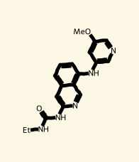 CCNC(=O)Nc1cc2cccc(Nc3cncc(OC)c3)c2cn1